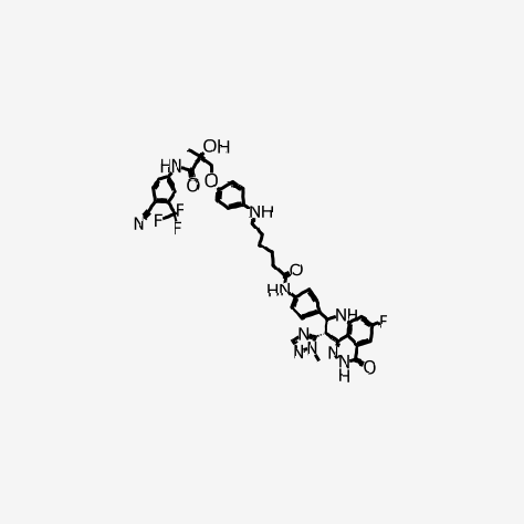 Cn1ncnc1[C@H]1c2n[nH]c(=O)c3cc(F)cc(c23)NC1c1ccc(NC(=O)CCCCCNc2ccc(OCC(C)(O)C(=O)Nc3ccc(C#N)c(C(F)(F)F)c3)cc2)cc1